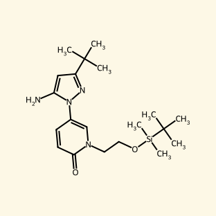 CC(C)(C)c1cc(N)n(-c2ccc(=O)n(CCO[Si](C)(C)C(C)(C)C)c2)n1